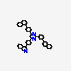 c1cc(-c2ccc3ccccc3c2)cc(-c2nc(-c3ccc(-c4cccc5ccccc45)cc3)cc(-c3ccc(-c4cncc5ccccc45)cc3)n2)c1